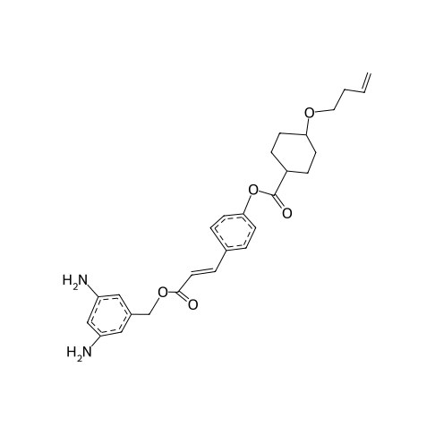 C=CCCOC1CCC(C(=O)Oc2ccc(/C=C/C(=O)OCc3cc(N)cc(N)c3)cc2)CC1